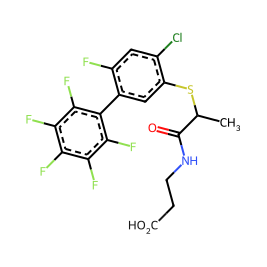 CC(Sc1cc(-c2c(F)c(F)c(F)c(F)c2F)c(F)cc1Cl)C(=O)NCCC(=O)O